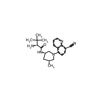 C[C@H]1C[C@@H](NC(=O)[C@@H](N)C(C)(C)C)CN(c2ccc(C#N)c3ncccc23)C1